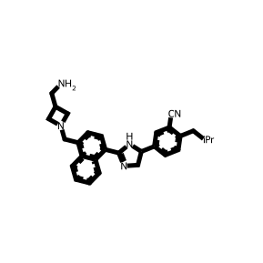 CC(C)Cc1ccc(C2CN=C(c3ccc(CN4CC(CN)C4)c4ccccc34)N2)cc1C#N